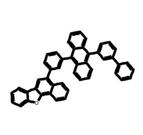 c1ccc(-c2cccc(-c3c4ccccc4c(-c4cccc(-c5cc6c7ccccc7oc6c6ccccc56)c4)c4ccccc34)c2)cc1